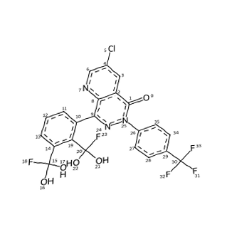 O=c1c2cc(Cl)cnc2c(-c2cccc(C(O)(O)F)c2C(O)(O)F)nn1-c1ccc(C(F)(F)F)cc1